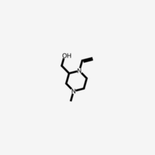 C=CN1CCN(C)CC1CO